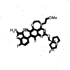 COCCN1CCOc2c(Cl)c(-c3ccc(F)c4sc(N)c(C#N)c34)c(F)c3nc(OC[C@@]45CCCN4C[C@H](F)C5)nc1c23